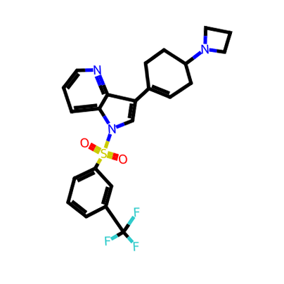 O=S(=O)(c1cccc(C(F)(F)F)c1)n1cc(C2=CCC(N3CCC3)CC2)c2ncccc21